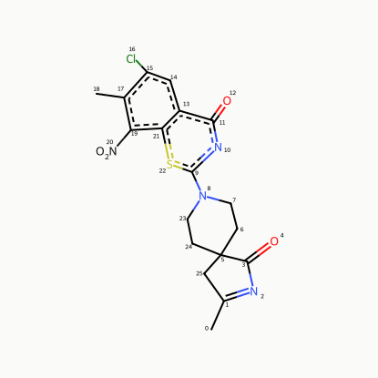 CC1=NC(=O)C2(CCN(c3nc(=O)c4cc(Cl)c(C)c([N+](=O)[O-])c4s3)CC2)C1